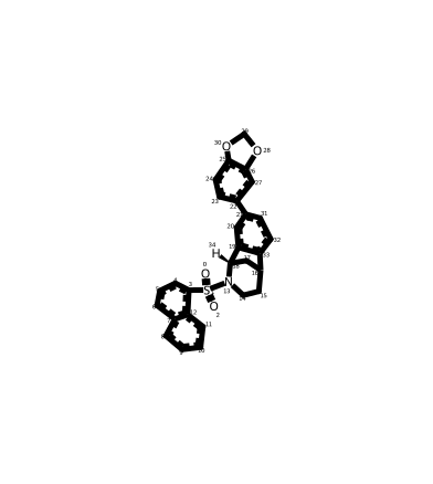 O=S(=O)(c1cccc2ccccc12)N1CCC2C[C@H]1c1cc(-c3ccc4c(c3)OCO4)ccc12